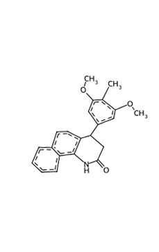 COc1cc(C2CC(=O)Nc3c2ccc2ccccc32)cc(OC)c1C